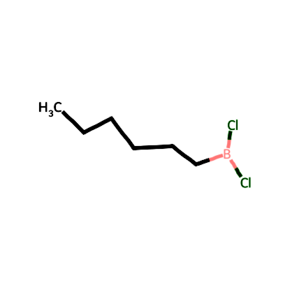 CCCCCCB(Cl)Cl